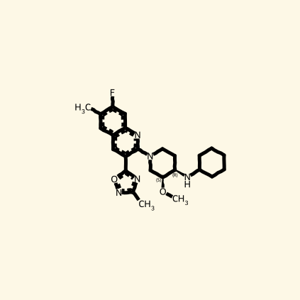 CO[C@H]1CN(c2nc3cc(F)c(C)cc3cc2-c2nc(C)no2)CC[C@H]1NC1CCCCC1